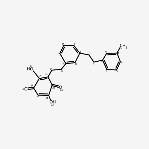 Cc1cccc(CCc2cccc(CCC3=C(O)C(=O)C=C(O)C3=O)c2)c1